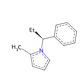 CC[C@@H](c1ccccc1)n1cccc1C